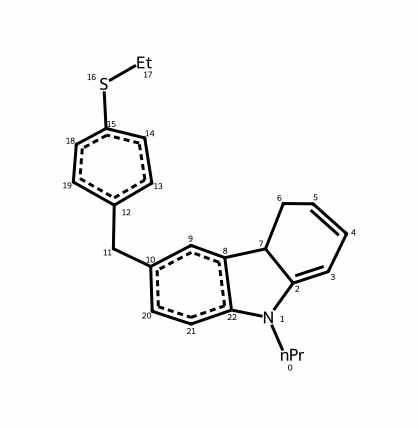 CCCN1C2=CC=CCC2c2cc(Cc3ccc(SCC)cc3)ccc21